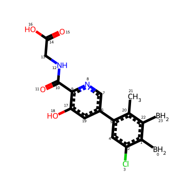 Bc1c(Cl)cc(-c2cnc(C(=O)NCC(=O)O)c(O)c2)c(C)c1B